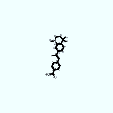 CC(=Cc1ccc(C(=O)O)cc1)c1ccc2c(c1)N(C)CCC2(C)C